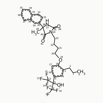 CCCc1cc(C(O)(C(F)(F)F)C(F)(F)F)ccc1OCCCCN1C(=O)NC(C)(c2ccc3ccccc3c2)C1=O